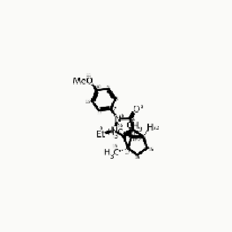 CCn1c2c(c(=O)n1-c1ccc(OC)cc1)[C@H]1CC[C@]2(C)C1(C)C